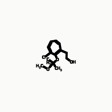 COC(C)(C)OC1=C(CCO)C=CC=C=C1Cl